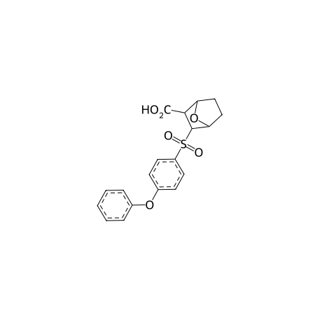 O=C(O)C1C2CCC(O2)C1S(=O)(=O)c1ccc(Oc2ccccc2)cc1